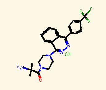 CC(C)(N)C(=O)N1CCN(c2nnc(-c3ccc(C(F)(F)F)cc3)c3ccccc23)CC1.Cl